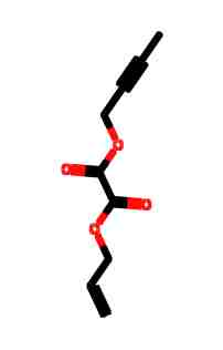 C=CCOC(=O)C(=O)OCC#CC